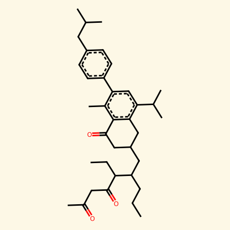 CCCC(CC1CC(=O)c2c(C)c(-c3ccc(CC(C)C)cc3)cc(C(C)C)c2C1)C(CC)C(=O)CC(C)=O